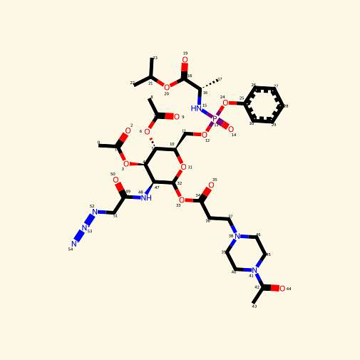 CC(=O)O[C@H]1[C@H](OC(C)=O)[C@@H](COP(=O)(N[C@@H](C)C(=O)OC(C)C)Oc2ccccc2)OC(OC(=O)CCN2CCN(C(C)=O)CC2)[C@H]1NC(=O)CN=[N+]=[N-]